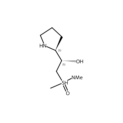 CN[SH](C)(=O)C[C@@H](O)[C@@H]1CCCN1